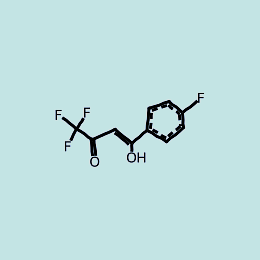 O=C(/C=C(\O)c1ccc(F)cc1)C(F)(F)F